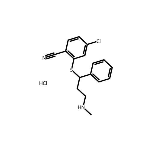 CNCCC(Sc1cc(Cl)ccc1C#N)c1ccccc1.Cl